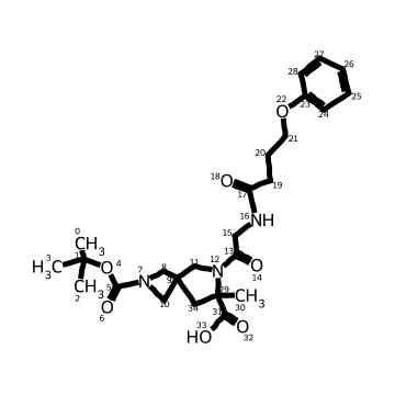 CC(C)(C)OC(=O)N1CC2(C1)CN(C(=O)CNC(=O)CCCOc1ccccc1)C(C)(C(=O)O)C2